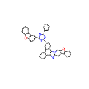 c1ccc(-c2nc(-c3ccc4oc5ccccc5c4c3)nc(-c3ccc4c(c3)c3ccccc3c3nc5cc6c(cn5c43)oc3ccccc36)n2)cc1